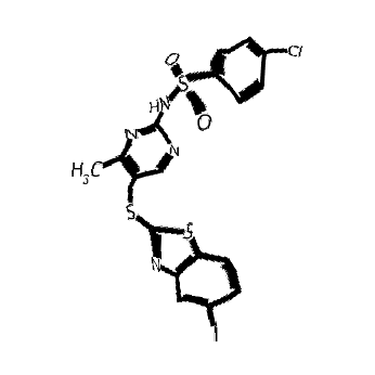 Cc1nc(NS(=O)(=O)c2ccc(Cl)cc2)ncc1Sc1nc2cc(I)ccc2s1